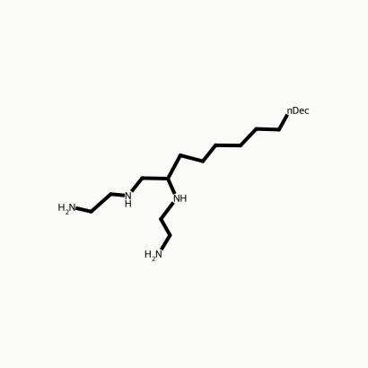 CCCCCCCCCCCCCCCCC(CNCCN)NCCN